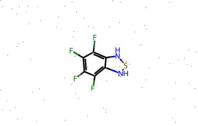 Fc1c(F)c(F)c2c(c1F)NSN2